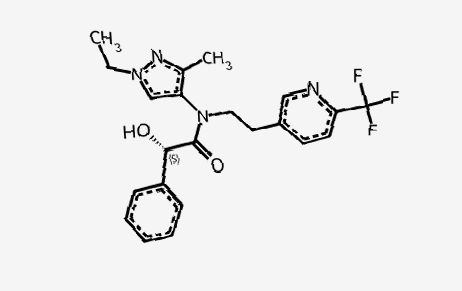 CCn1cc(N(CCc2ccc(C(F)(F)F)nc2)C(=O)[C@@H](O)c2ccccc2)c(C)n1